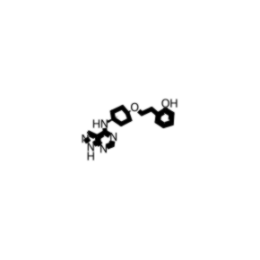 Oc1ccccc1CCO[C@H]1CC[C@H](Nc2ncnc3[nH]ncc23)CC1